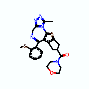 CSc1ccccc1C1=NCc2nnc(C)n2-c2sc3c(c21)CC(C(=O)N1CCOCC1)C3